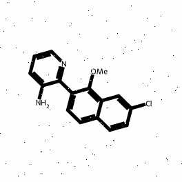 COc1c(-c2ncccc2N)ccc2ccc(Cl)cc12